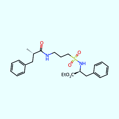 CCOC(=O)[C@H](Cc1ccccc1)NS(=O)(=O)CCCNC(=O)[C@@H](C)Cc1ccccc1